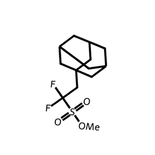 COS(=O)(=O)C(F)(F)CC12CC3CC(CC(C3)C1)C2